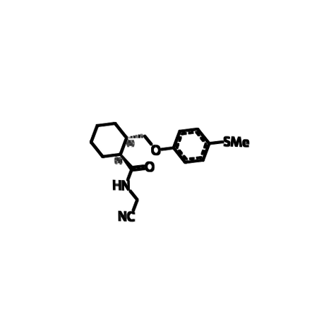 CSc1ccc(OC[C@H]2CCCC[C@@H]2C(=O)NCC#N)cc1